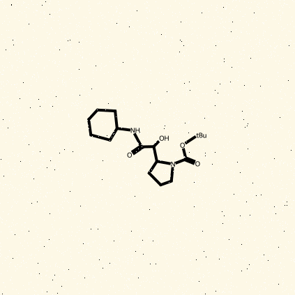 CC(C)(C)OC(=O)N1CCCC1C(O)C(=O)NC1CCCCC1